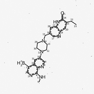 Bc1cnc(NC)c2ncc(N3CCN(Cc4cnc5cc(CC)c(=O)[nH]c5c4)CC3)cc12